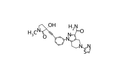 CN1CC[C@@](O)(C#Cc2cccc(-n3nc(C(N)=O)c4c3CCN(c3nccs3)C4)c2)C1=O